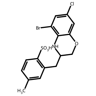 Cc1ccc(S(=O)(=O)O)c(CC2COc3cc(Cl)cc(Br)c3N2)c1